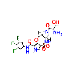 CC(O)C(N)C(=O)N1C[C@@H]2COc3c(cn(C)c3C(=O)Nc3cc(F)c(F)c(F)c3)S(=O)(=O)N[C@@H]2C1